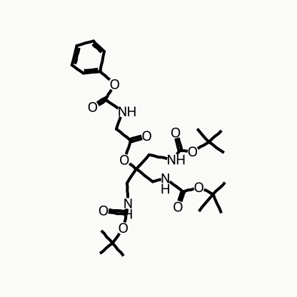 CC(C)(C)OC(=O)NCC(CNC(=O)OC(C)(C)C)(CNC(=O)OC(C)(C)C)OC(=O)CNC(=O)Oc1ccccc1